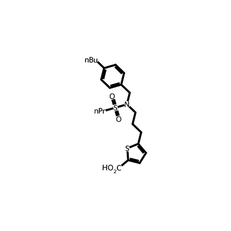 CCCCc1ccc(CN(CCCc2ccc(C(=O)O)s2)S(=O)(=O)CCC)cc1